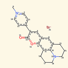 C[n+]1ccc(-c2cc3cc4c5c(c3oc2=O)CCCN5CCC4)cc1.[Br-]